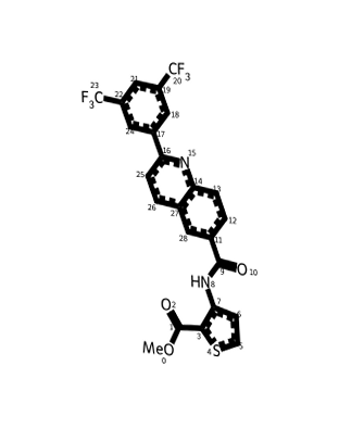 COC(=O)c1sccc1NC(=O)c1ccc2nc(-c3cc(C(F)(F)F)cc(C(F)(F)F)c3)ccc2c1